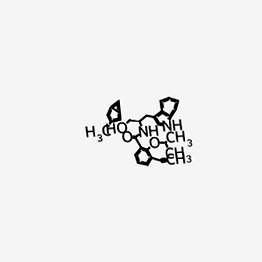 C#Cc1cccc(C(=O)N[C@@H](CO)Cc2c[nH]c3ccccc23)c1OC(C)C.Cc1cc2cc-2c1